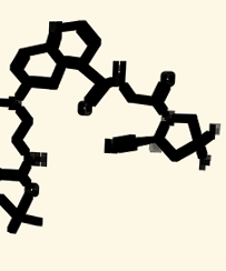 CN(CCNC(=O)OC(C)(C)C)c1ccc2nccc(C(=O)NCC(=O)N3CC(F)(F)C[C@H]3C#N)c2c1